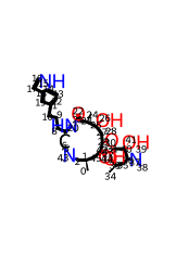 C[C@H]1CN(C)CCC(CCCc2ccc3[nH]ccc3c2)NC(=O)[C@@H](C)[C@@H](O)[C@H](C)[C@@H](OC2O[C@H](C)C[C@H](N(C)C)[C@H]2O)[C@](C)(O)C1